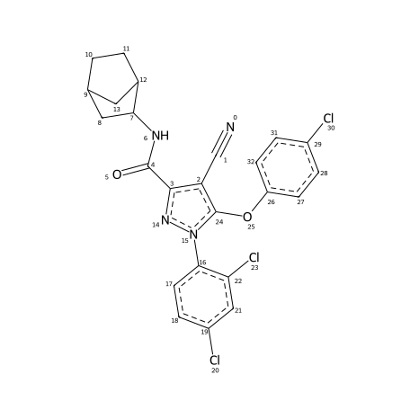 N#Cc1c(C(=O)NC2CC3CCC2C3)nn(-c2ccc(Cl)cc2Cl)c1Oc1ccc(Cl)cc1